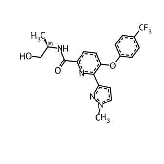 C[C@H](CO)NC(=O)c1ccc(Oc2ccc(C(F)(F)F)cc2)c(-c2ccn(C)n2)n1